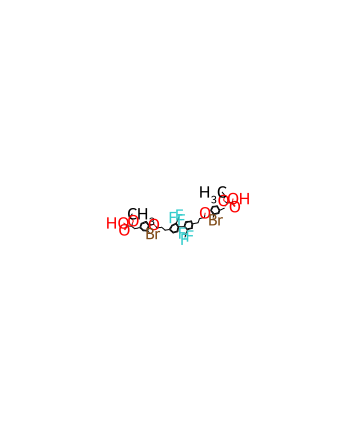 CCOC(Cc1ccc(OCCCc2ccc(-c3ccc(CCCOc4ccc(C[C@H](OCC)C(=O)O)cc4Br)cc3C(F)(F)F)c(C(F)(F)F)c2)c(Br)c1)C(=O)O